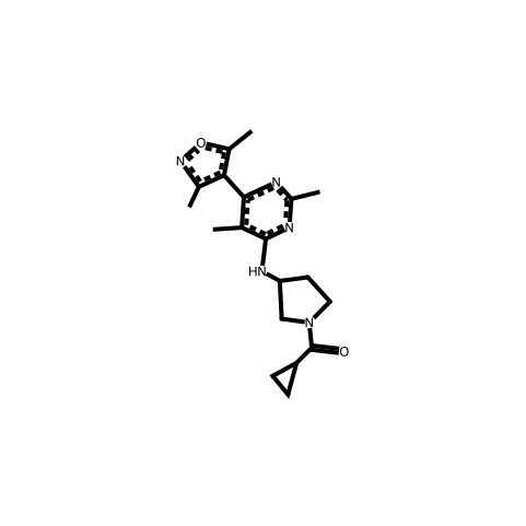 Cc1nc(NC2CCN(C(=O)C3CC3)C2)c(C)c(-c2c(C)noc2C)n1